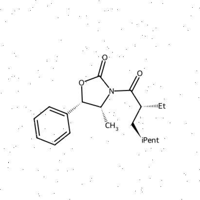 CCC[C@H](C)C[C@@H](CC)C(=O)N1C(=O)O[C@@H](c2ccccc2)[C@H]1C